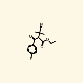 CCOC(=O)C(C(=O)c1ccc(F)cc1)C(C)(C)C#N